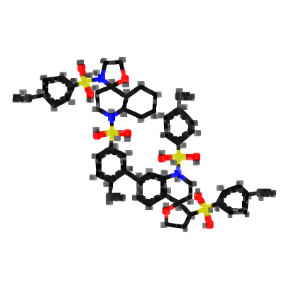 COc1ccc(S(=O)(=O)C2CCOC23CCN(S(=O)(=O)c2ccc(OC)cc2)c2cc(-c4cc(S(=O)(=O)N5CCC6(OCCN6S(=O)(=O)c6ccc(OC)cc6)C6CCCCC65)ccc4OC)ccc23)cc1